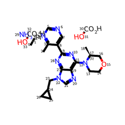 CC(C)C.Cc1ncncc1-c1nc(N2CCOC[C@@H]2C)c2ncn(CC3CC3)c2n1.N.O=C(O)O.O=C(O)O